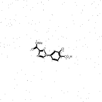 COC(=O)c1ncn(-c2ccc(C(=O)O)c(Cl)c2)n1